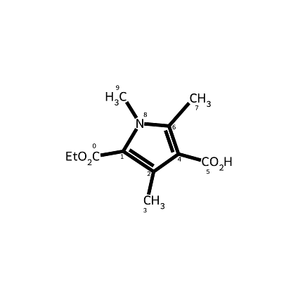 CCOC(=O)c1c(C)c(C(=O)O)c(C)n1C